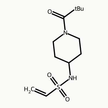 C=CS(=O)(=O)NC1CCN(C(=O)C(C)(C)C)CC1